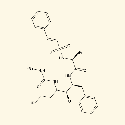 CC(C)CCC(NC(=O)NC(C)(C)C)[C@H](O)[C@H](Cc1ccccc1)NC(=O)[C@@H](NS(=O)(=O)/C=C/c1ccccc1)C(C)C